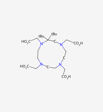 CC(C)(C)C1(C(C)(C)C)CN(CC(=O)O)CCN(CC(=O)O)CCN(CC(=O)O)CCN1CC(=O)O